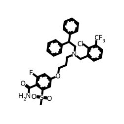 CS(=O)(=O)c1cc(OCCCN(Cc2cccc(C(F)(F)F)c2Cl)CC(c2ccccc2)c2ccccc2)cc(F)c1C(N)=O